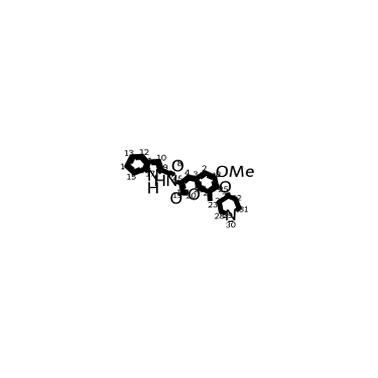 COc1cc2cc(NC(=O)c3cc4ccccc4[nH]3)c(=O)oc2c(C)c1OC1CCN(C)CC1